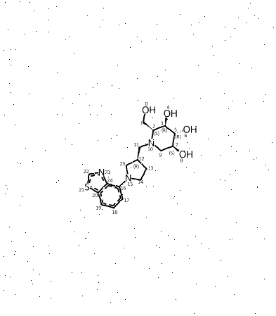 OC[C@H]1[C@@H](O)[C@H](O)[C@@H](O)CN1C[C@H]1CCN(c2cccc3scnc23)C1